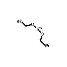 CC(C)C[O][Ti+2][O]CC(C)C